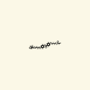 C=CC(=O)OCCCCOc1ccc(C(=O)Oc2ccc(OCCCCOCC3(C)COC3)cc2)cc1